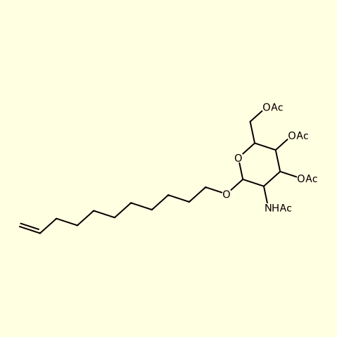 C=CCCCCCCCCCOC1OC(COC(C)=O)C(OC(C)=O)C(OC(C)=O)C1NC(C)=O